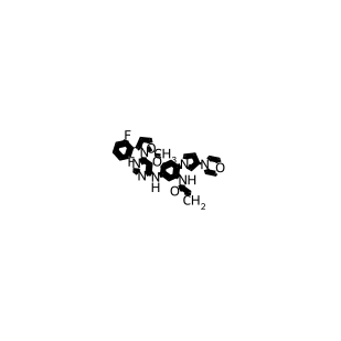 C=CC(=O)Nc1cc(Nc2cc(N3OCC[C@H]3c3c(F)cccc3F)ncn2)c(OC)cc1N1CC[C@@H](N2CCOCC2)C1